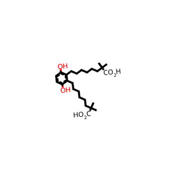 CC(C)(CCCCCCc1c(O)ccc(O)c1CCCCCCC(C)(C)C(=O)O)C(=O)O